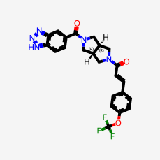 O=C(C=Cc1ccc(OC(F)(F)F)cc1)N1C[C@@H]2CN(C(=O)c3ccc4[nH]nnc4c3)C[C@H]2C1